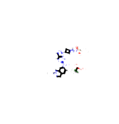 COc1cc2c(cc1Nc1ncc3cnn([C@H]4C[C@H](CNS(C)(=O)=O)C4)c3n1)CN(C)CC2.O=C(O)C(F)(F)F